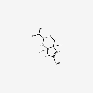 CNC1=N[C@@H]2CC[C@@H]([C@H](C)F)O[C@@H]2S1